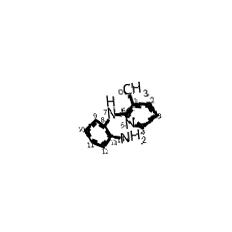 Cc1cccnc1Nc1ccccc1N